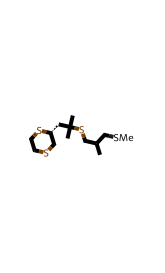 CSCC(C)CSC(C)(C)C[C@@H]1CSCCS1